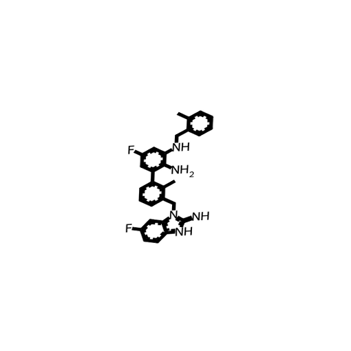 Cc1ccccc1CNc1cc(F)cc(-c2cccc(Cn3c(=N)[nH]c4ccc(F)cc43)c2C)c1N